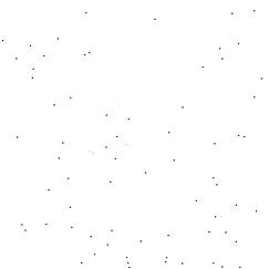 CCOC(=O)c1c(F)ncn1C(CO)c1ccc(C)cc1